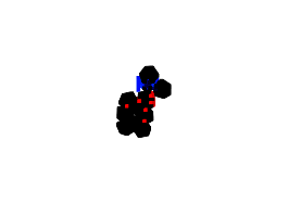 c1ccc(-n2c(-c3ccc(-c4cccc5c4C4(c6ccccc6-c6ccccc64)c4ccccc4C54c5ccccc5-c5ccccc54)cc3)nc3ccccc32)cc1